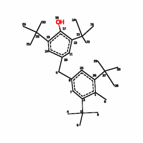 Cc1c(C(C)(C)C)cc(Cc2cc(C(C)(C)C)c(O)c(C(C)(C)C)c2)cc1C(C)(C)C